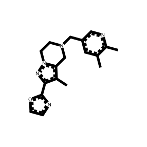 Cc1cc(CN2CCn3nc(-c4ncco4)c(C)c3C2)cnc1C